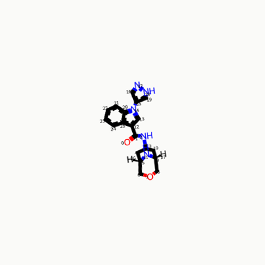 O=C(NC1C[C@H]2COC[C@@H](C1)N2)c1cn(-c2cn[nH]c2)c2ccccc12